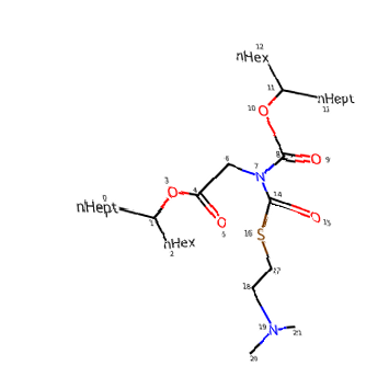 CCCCCCCC(CCCCCC)OC(=O)CN(C(=O)OC(CCCCCC)CCCCCCC)C(=O)SCCN(C)C